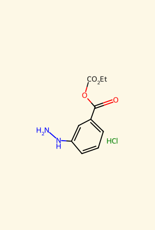 CCOC(=O)OC(=O)c1cccc(NN)c1.Cl